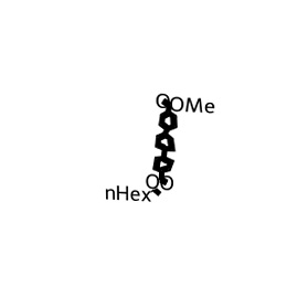 CCCCCC[C@@H](C)OC(=O)c1ccc(-c2ccc(-c3ccc(C(=O)OC)cc3)cc2)cc1